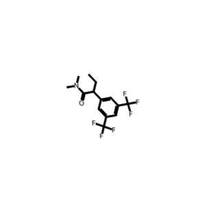 CCC(C(=O)N(C)C)c1cc(C(F)(F)F)cc(C(F)(F)F)c1